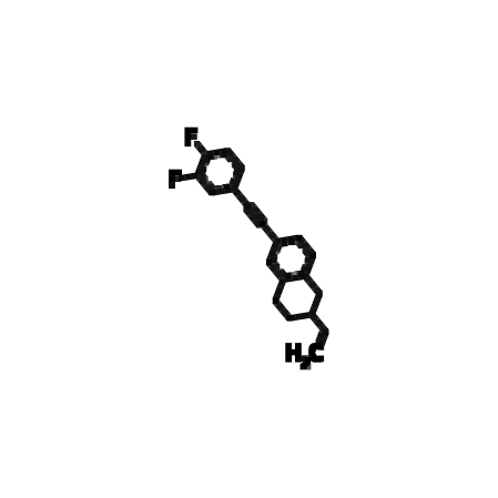 C=CC1CCc2cc(C#Cc3ccc(F)c(F)c3)ccc2C1